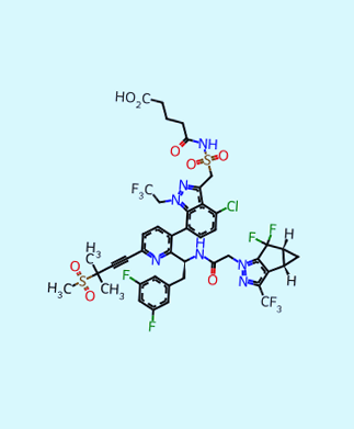 CC(C)(C#Cc1ccc(-c2ccc(Cl)c3c(CS(=O)(=O)NC(=O)CCCC(=O)O)nn(CC(F)(F)F)c23)c([C@H](Cc2cc(F)cc(F)c2)NC(=O)Cn2nc(C(F)(F)F)c3c2C(F)(F)[C@@H]2C[C@H]32)n1)S(C)(=O)=O